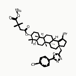 CC(C)C1=C2[C@H]3CC[C@@H]4[C@@]5(C)CC[C@H](OC(=O)CC(C)(C)C(=O)OC(C)(C)C)C(C)(C)[C@@H]5CC[C@@]4(C)[C@]3(C)CC[C@@]2(Cc2nnc(-c3ccc(Cl)cc3)o2)CC1